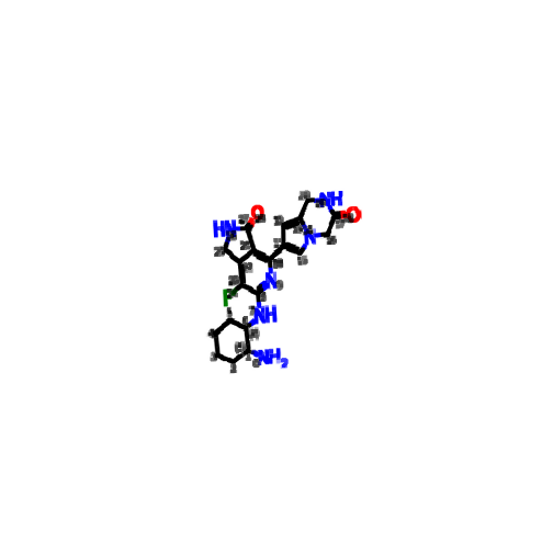 N[C@H]1CCCC[C@H]1Nc1nc(-c2cc3n(c2)CC(=O)NC3)c2c(c1F)CNC2=O